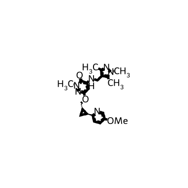 COc1ccc([C@H]2C[C@@H]2COc2cc(NCc3c(C)nn(C)c3C)c(=O)n(C)n2)nc1